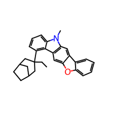 CCC1(c2cccc3c2c2cc4oc5ccccc5c4cc2n3C)CC2CCC(C2)C1